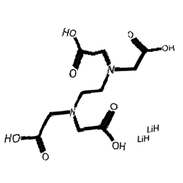 O=C(O)CN(CCN(CC(=O)O)CC(=O)O)CC(=O)O.[LiH].[LiH]